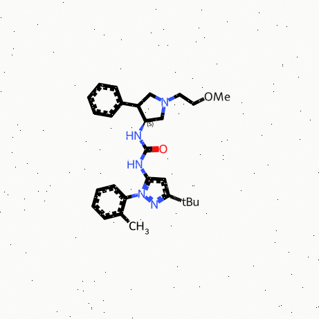 COCCN1CC(c2ccccc2)[C@H](NC(=O)Nc2cc(C(C)(C)C)nn2-c2ccccc2C)C1